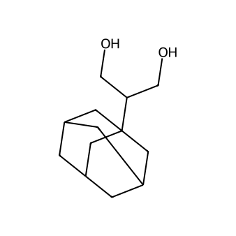 OCC(CO)C12CC3CC(CC(C3)C1)C2